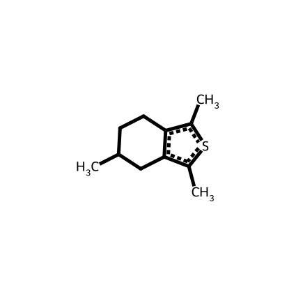 Cc1sc(C)c2c1CCC(C)C2